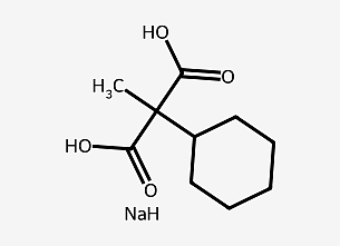 CC(C(=O)O)(C(=O)O)C1CCCCC1.[NaH]